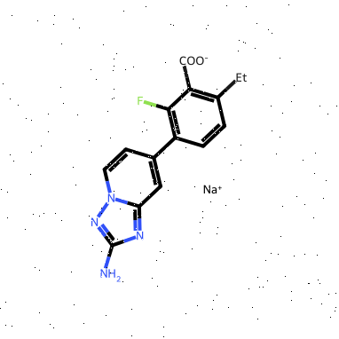 CCc1ccc(-c2ccn3nc(N)nc3c2)c(F)c1C(=O)[O-].[Na+]